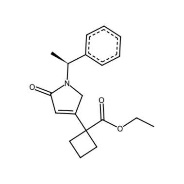 CCOC(=O)C1(C2=CC(=O)N([C@@H](C)c3ccccc3)C2)CCC1